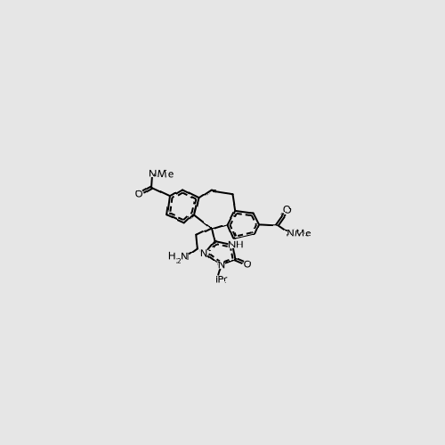 CNC(=O)c1ccc2c(c1)CCc1cc(C(=O)NC)ccc1C2(CCN)c1nn(C(C)C)c(=O)[nH]1